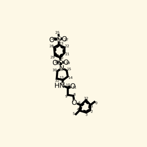 Cc1ccc(C)c(OCCC(=O)NC2CCN(S(=O)(=O)c3ccc(S(C)(=O)=O)cc3)CC2)c1